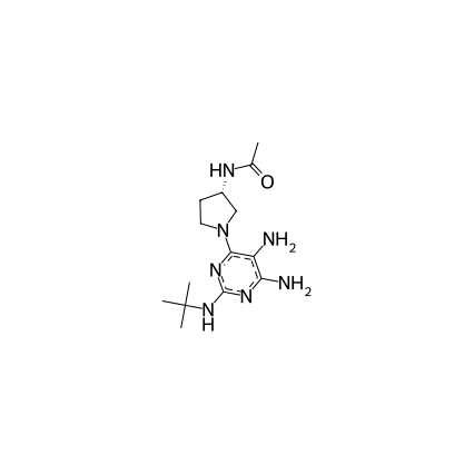 CC(=O)N[C@H]1CCN(c2nc(NC(C)(C)C)nc(N)c2N)C1